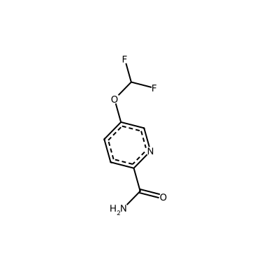 NC(=O)c1ccc(OC(F)F)cn1